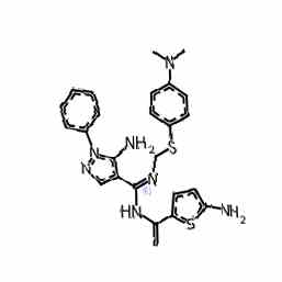 C=C(N/C(=N/CSc1ccc(N(C)C)cc1)c1cnn(-c2ccccc2)c1N)c1ccc(N)s1